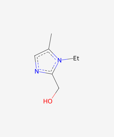 CCn1c(C)cnc1CO